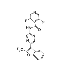 O=C(Nc1cnc(-c2c(C(F)(F)F)oc3ccccc23)cn1)c1c(F)cncc1F